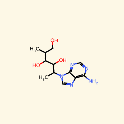 CC(CO)C(O)C(O)C(C)n1cnc2c(N)ncnc21